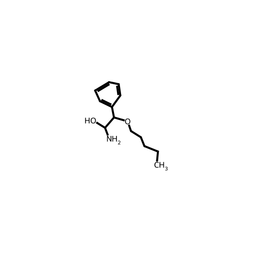 CCCCCOC(c1ccccc1)C(N)O